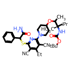 CCc1c(C#N)c(SC(C(N)=O)c2ccccc2)nc(N2CCC(OC(C)[C@](NC(=O)OC(C)(C)C)(C(=O)O)C(C)C)CC2)c1C#N